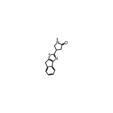 CN1CC(c2nc3c(s2)Cc2ccccc2-3)CC1=O